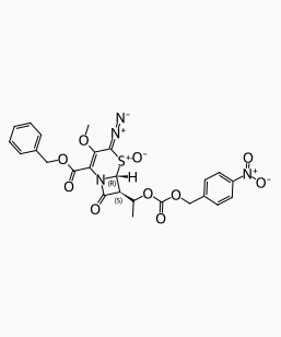 COC1=C(C(=O)OCc2ccccc2)N2C(=O)[C@H](C(C)OC(=O)OCc3ccc([N+](=O)[O-])cc3)[C@H]2[S+]([O-])C1=[N+]=[N-]